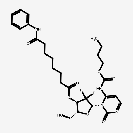 CCCCOC(=O)Nc1ccnc(=O)n1[C@@H]1O[C@H](CO)[C@@H](OC(=O)CCCCCCC(=O)Nc2ccccc2)C1(F)F